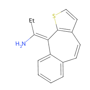 CC/C(N)=C1/c2ccccc2C=Cc2ccsc21